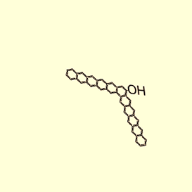 Oc1cc2cc3cc4cc5cc6ccccc6cc5cc4cc3cc2c2cc3cc4cc5cc6ccccc6cc5cc4cc3cc12